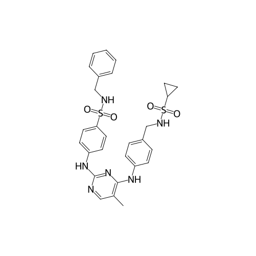 Cc1cnc(Nc2ccc(S(=O)(=O)NCc3ccccc3)cc2)nc1Nc1ccc(CNS(=O)(=O)C2CC2)cc1